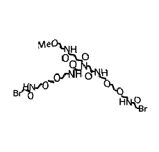 COCCNC(=O)CCC(=O)N(CC(=O)NCCOCCOCCNC(=O)CBr)CC(=O)NCCOCCOCCNC(=O)CBr